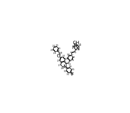 Cn1nnc(C=Cc2ccc(CC3c4ccc(OCc5ccccc5)cc4CCN3c3ccc(F)cc3)cc2)n1